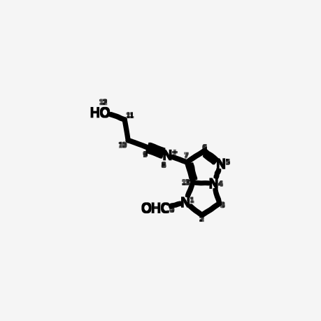 O=CN1CCn2ncc([N+]#CCCO)c21